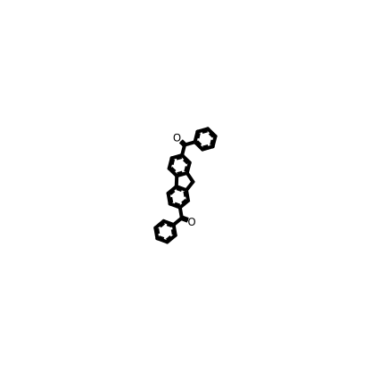 O=C(c1ccccc1)c1ccc2c(c1)Cc1cc(C(=O)c3ccccc3)ccc1-2